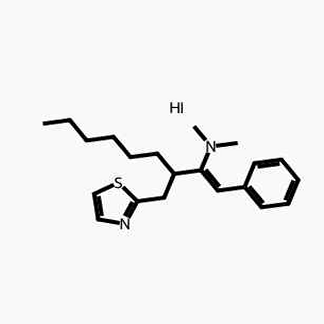 CCCCCCC(Cc1nccs1)C(=Cc1ccccc1)N(C)C.I